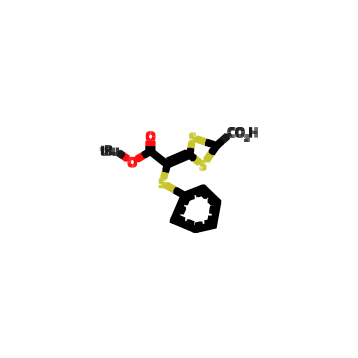 CC(C)(C)OC(=O)C(Sc1ccccc1)=C1SC(C(=O)O)S1